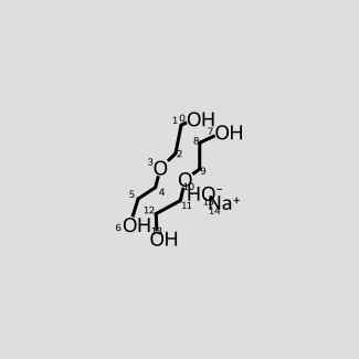 OCCOCCO.OCCOCCO.[Na+].[OH-]